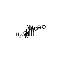 C=CS(=O)(=O)Nc1ccc2ncnc(Nc3ccc(OCc4ccccc4)cc3)c2c1